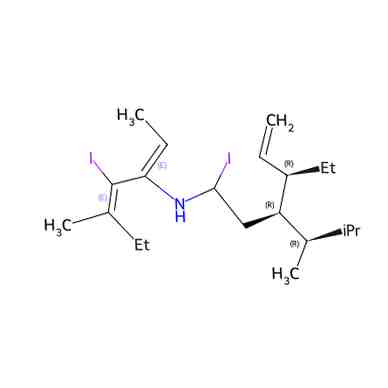 C=C[C@@H](CC)[C@H](CC(I)NC(=C/C)/C(I)=C(/C)CC)[C@H](C)C(C)C